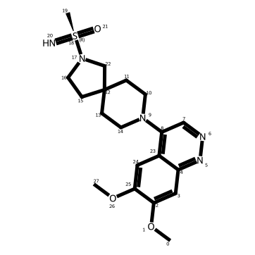 COc1cc2nncc(N3CCC4(CC3)CCN([S@](C)(=N)=O)C4)c2cc1OC